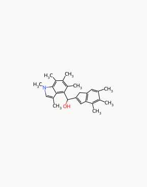 Cc1cc2c(c(C)c1C)C=C(C(O)c1c(C)c(C)c(C)c3c1c(C)cn3C)C2